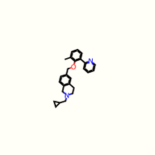 Cc1cccc(-c2ccccn2)c1OCc1ccc2c(c1)CCN(CC1CC1)C2